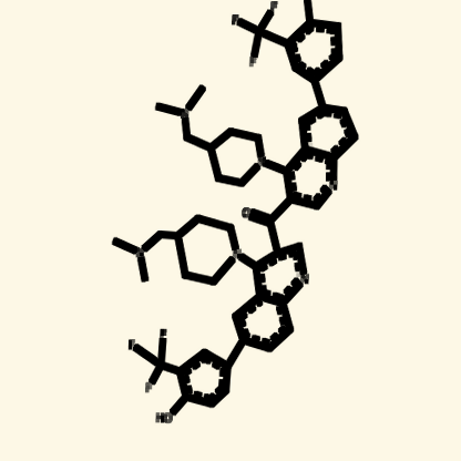 CN(C)CC1CCN(c2c(C(=O)c3cnc4ccc(-c5ccc(O)c(C(F)(F)F)c5)cc4c3N3CCC(CN(C)C)CC3)cnc3ccc(-c4ccc(O)c(C(F)(F)F)c4)cc23)CC1